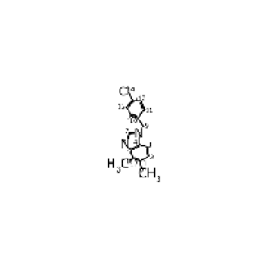 Cc1ccc2c(ncn2Cc2ccc(Cl)cc2)c1C